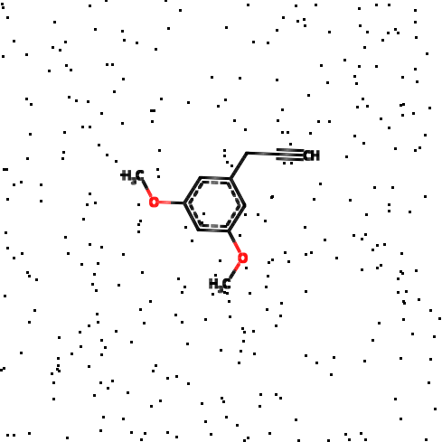 C#CCc1cc(OC)cc(OC)c1